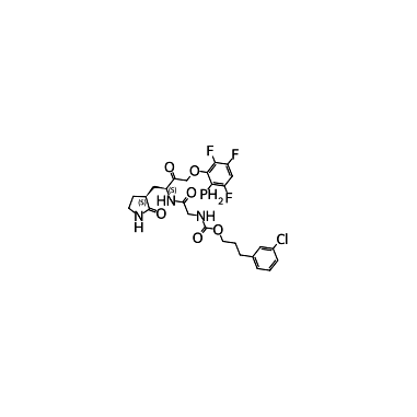 O=C(CNC(=O)OCCCc1cccc(Cl)c1)N[C@@H](C[C@@H]1CCNC1=O)C(=O)COc1c(F)c(F)cc(F)c1P